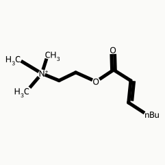 CCCCC=CC(=O)OCC[N+](C)(C)C